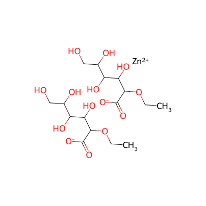 CCOC(C(=O)[O-])C(O)C(O)C(O)CO.CCOC(C(=O)[O-])C(O)C(O)C(O)CO.[Zn+2]